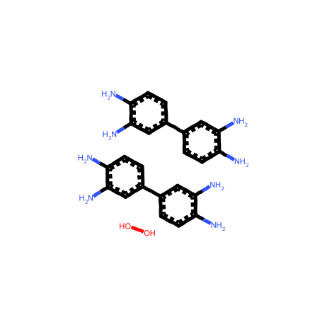 Nc1ccc(-c2ccc(N)c(N)c2)cc1N.Nc1ccc(-c2ccc(N)c(N)c2)cc1N.OO